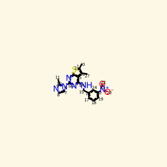 Cc1sc2nc(-n3ccnc3C)nc(NCc3cccc([N+](=O)[O-])c3)c2c1C